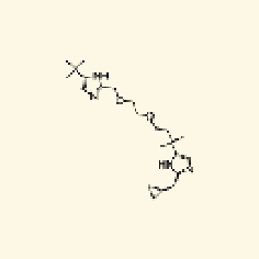 CC(C)(C)c1cnc(COCCOCCC(C)(C)c2cnc(CC3CC3)[nH]2)[nH]1